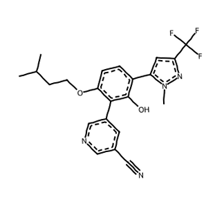 CC(C)CCOc1ccc(-c2cc(C(F)(F)F)nn2C)c(O)c1-c1cncc(C#N)c1